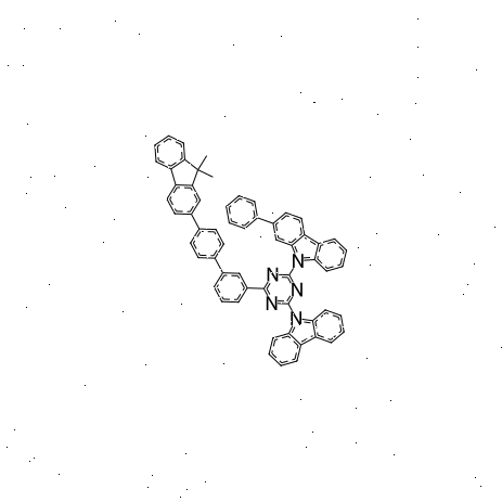 CC1(C)c2ccccc2-c2ccc(-c3ccc(-c4cccc(-c5nc(-n6c7ccccc7c7ccccc76)nc(-n6c7ccccc7c7ccc(-c8ccccc8)cc76)n5)c4)cc3)cc21